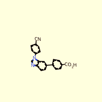 N#Cc1ccc(-n2cnc3ccc(-c4ccc(C(=O)O)cc4)cc32)cc1